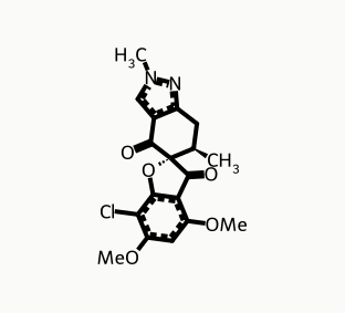 COc1cc(OC)c2c(c1Cl)O[C@@]1(C(=O)c3cn(C)nc3C[C@H]1C)C2=O